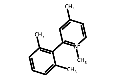 Cc1cc[n+](C)c(-c2c(C)cccc2C)c1